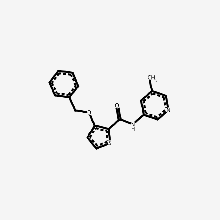 Cc1cncc(NC(=O)c2sccc2OCc2ccccc2)c1